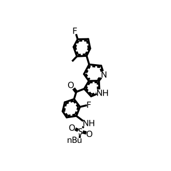 CCCCS(=O)(=O)Nc1cccc(C(=O)c2c[nH]c3ncc(-c4ccc(F)cc4C)cc23)c1F